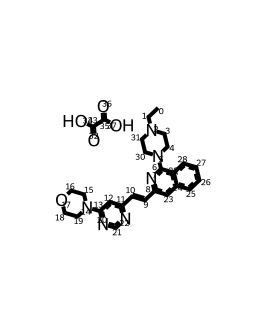 CCN1CCN(c2nc(C=Cc3cc(N4CCOCC4)ncn3)cc3ccccc23)CC1.O=C(O)C(=O)O